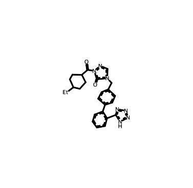 CCC1CCC(C(=O)n2ncn(Cc3ccc(-c4ccccc4-c4nnn[nH]4)cc3)c2=O)CC1